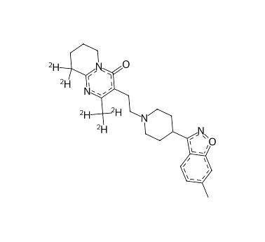 [2H]C([2H])([2H])c1nc2n(c(=O)c1CCN1CCC(c3noc4cc(C)ccc34)CC1)CCCC2([2H])[2H]